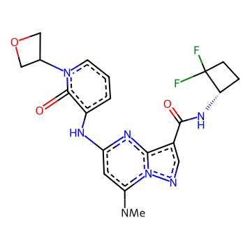 CNc1cc(Nc2cccn(C3COC3)c2=O)nc2c(C(=O)N[C@H]3CCC3(F)F)cnn12